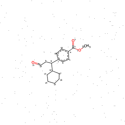 COC(=O)c1ccc(C(CC=O)C2CCCCC2)cc1